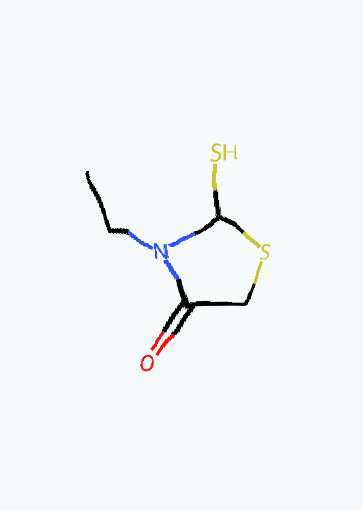 CCN1C(=O)CSC1S